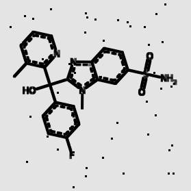 Cc1cccnc1C(O)(c1ccc(F)cc1)c1nc2ccc(S(N)(=O)=O)cc2n1C